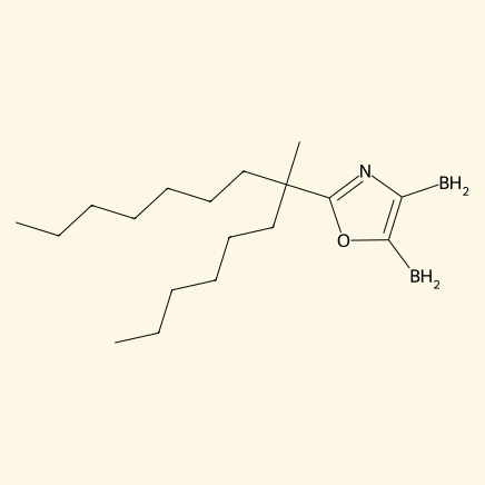 Bc1nc(C(C)(CCCCCC)CCCCCCC)oc1B